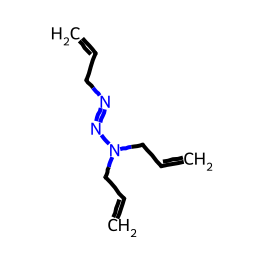 C=CCN=NN(CC=C)CC=C